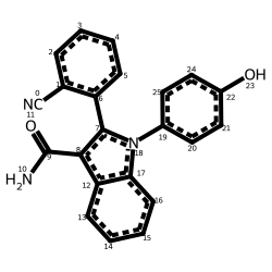 N#Cc1ccccc1-c1c(C(N)=O)c2ccccc2n1-c1ccc(O)cc1